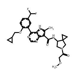 COCC(=O)N1CC(NC(=O)c2c(C)[nH]c3c(-c4cc(C(F)F)ccc4OCC4CC4)ncnc23)C2(CC2)C1